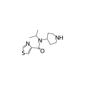 CC(C)N(C(=O)c1cscn1)C1CCNCC1